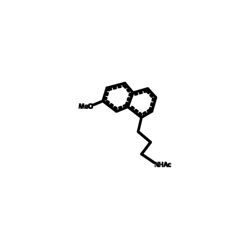 COc1ccc2cccc(CCCNC(C)=O)c2c1